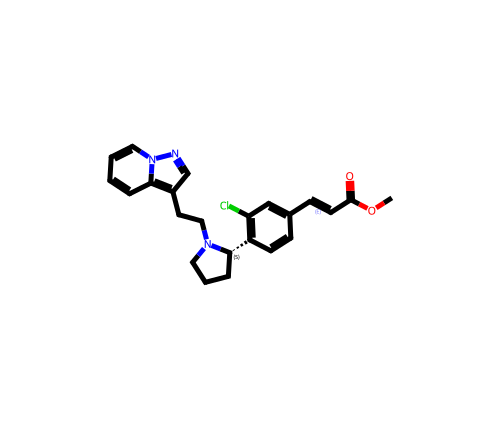 COC(=O)/C=C/c1ccc([C@@H]2CCCN2CCc2cnn3ccccc23)c(Cl)c1